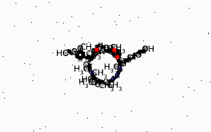 CO[C@@H]1C[C@H](C[C@@H](C)[C@@H]2CC(=O)[C@H](C)/C=C(\C)[C@@H](O)[C@@H](OC)C(=O)[C@H](C)C[C@H](C)/C=C/C=C/C=C(\C)[C@H](OCCOCCOCCO)C[C@@H]3CC[C@@H](C)[C@@](O)(O3)C(=O)C(=O)N3CCCC[C@H]3C(=O)O2)CC[C@H]1OCCO